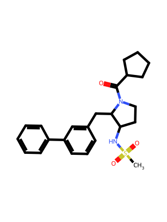 CS(=O)(=O)NC1CCN(C(=O)C2CCCC2)C1Cc1cccc(-c2ccccc2)c1